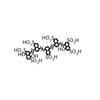 O=S(=O)(O)c1cc(O)c2c(N=Nc3ccc(N=Nc4ccc(N=Nc5ccc(N=Nc6cc(S(=O)(=O)O)c(O)c7ccc(S(=O)(=O)O)c(O)c67)c6cc(S(=O)(=O)O)ccc56)c5cc(S(=O)(=O)O)ccc45)c4cc(S(=O)(=O)O)ccc34)cc(S(=O)(=O)O)cc2c1